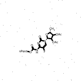 CCCCCOC(=O)Nc1nc(=O)n([C@@H]2O[C@H](C)C(OC(C)=O)C2OC(C)=O)cc1F